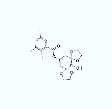 O=C(OC1CC2(OCCO2)N(O)C2(C1)OCCO2)c1cc(I)cc(I)c1I